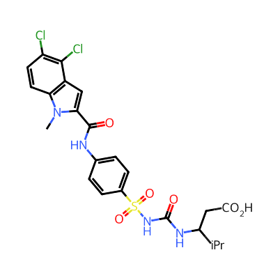 CC(C)C(CC(=O)O)NC(=O)NS(=O)(=O)c1ccc(NC(=O)c2cc3c(Cl)c(Cl)ccc3n2C)cc1